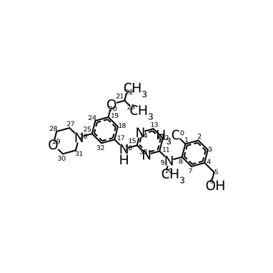 Cc1ccc(CO)cc1N(C)c1ccnc(Nc2cc(OC(C)C)cc(N3CCOCC3)c2)n1